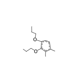 CCCOc1ccc(C)c(C)c1OCCC